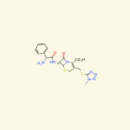 Cn1nnnc1SCC1=C(C(=O)O)N2C(=O)[C@@H](NC(=O)C(N)c3ccccc3)C2SC1